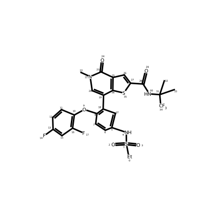 CCS(=O)(=O)Nc1ccc(Oc2ccc(F)cc2F)c(-c2cn(C)c(=O)c3cc(C(=O)NC(C)(C)C(F)(F)F)sc23)c1